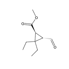 CCC1(CC)[C@@H](C=O)[C@@H]1C(=O)OC